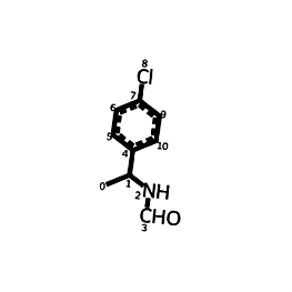 CC(NC=O)c1ccc(Cl)cc1